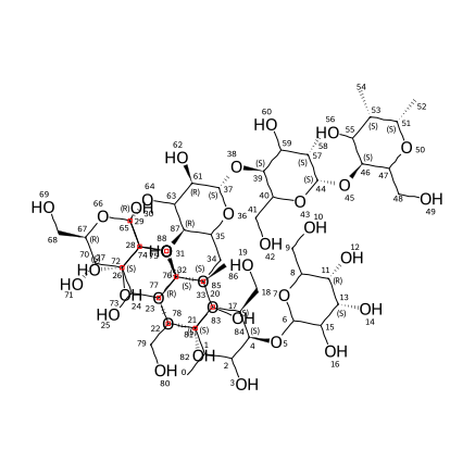 CC1C(O)[C@H](OC2OC(CO)[C@H](O)[C@H](O)C2O)[C@H](CO)O[C@H]1O[C@@H]1C(O)[C@H](O)C(CO)O[C@@H]1OCC1O[C@@H](O[C@@H]2C(CO)O[C@@H](O[C@@H]3C(CO)O[C@@H](C)[C@@H](C)C3O)[C@@H](C)C2O)[C@H](O)C(O[C@H]2O[C@H](CO)[C@@H](O)C(O)C2O[C@@H]2OC(CO)[C@@H](O)C(O)[C@@H]2C)[C@@H]1O